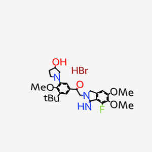 Br.COc1cc2c(c(F)c1OC)C(=N)N(CC(=O)c1cc(N3CCC(O)C3)c(OC)c(C(C)(C)C)c1)C2